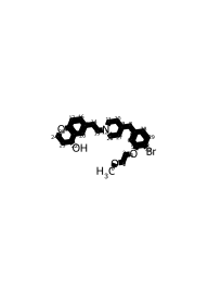 COCCOc1cc(CC2CCN(CCc3ccc4c(c3)C(O)CCO4)CC2)ccc1Br